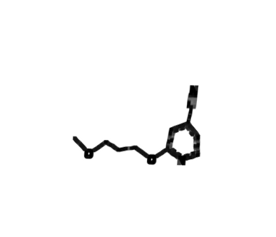 COCCCOc1cc(C#N)ccn1